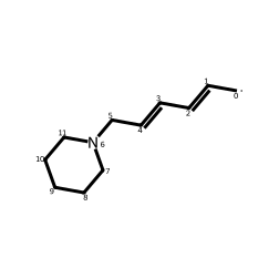 [CH2]C=CC=CCN1CCCCC1